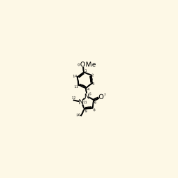 COc1ccc(-n2c(=O)cc(C)n2C)cc1